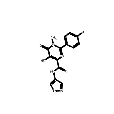 Cn1c(-c2ccc(Br)cc2)nc(C(=O)Nc2cnoc2)c(O)c1=O